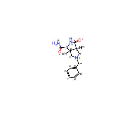 NC(=O)[C@H]1NC(=O)[C@@H]2CN(Cc3ccccc3)C[C@H]12